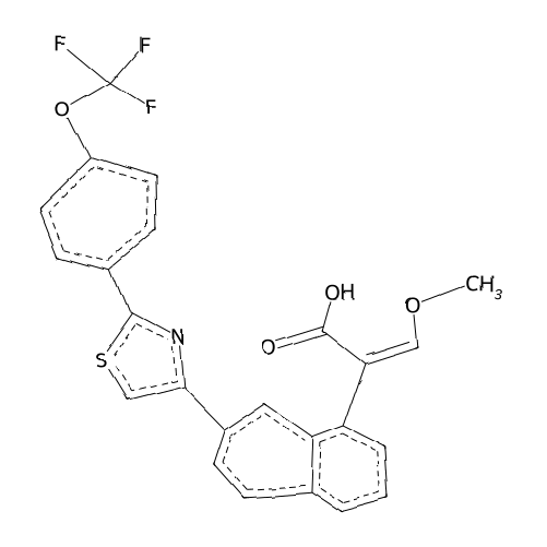 COC=C(C(=O)O)c1cccc2ccc(-c3csc(-c4ccc(OC(F)(F)F)cc4)n3)cc12